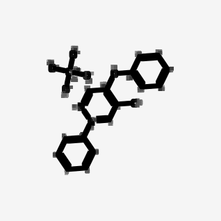 Clc1c[n+](-c2ccccc2)ncc1Oc1ccccc1.[O-][Cl+3]([O-])([O-])[O-]